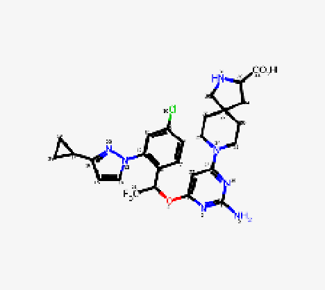 Nc1nc(OC(c2ccc(Cl)cc2-n2ccc(C3CC3)n2)C(F)(F)F)cc(N2CCC3(CC2)CNC(C(=O)O)C3)n1